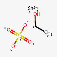 CCO.O=S(=O)([O-])[O-].[Sn+2]